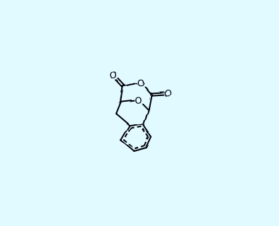 O=C1OC(=O)C2OC1Cc1ccccc12